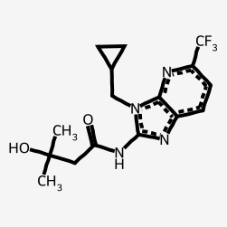 CC(C)(O)CC(=O)Nc1nc2ccc(C(F)(F)F)nc2n1CC1CC1